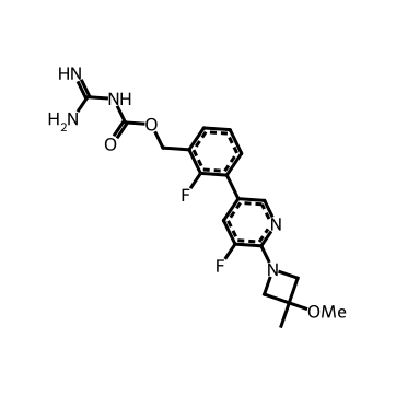 COC1(C)CN(c2ncc(-c3cccc(COC(=O)NC(=N)N)c3F)cc2F)C1